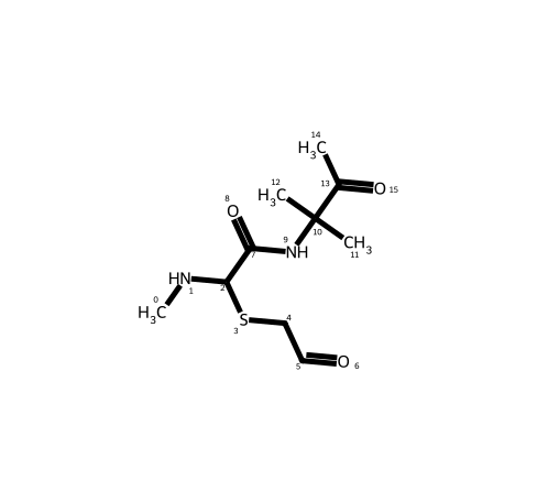 CNC(SCC=O)C(=O)NC(C)(C)C(C)=O